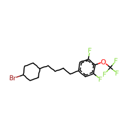 Fc1cc(CCCCC2CCC(Br)CC2)cc(F)c1OC(F)(F)F